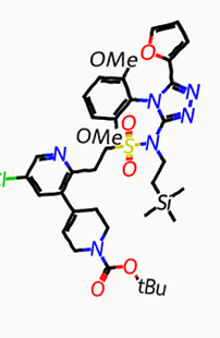 COc1cccc(OC)c1-n1c(-c2ccco2)nnc1N(CC[Si](C)(C)C)S(=O)(=O)CCc1ncc(Cl)cc1C1=CCN(C(=O)OC(C)(C)C)CC1